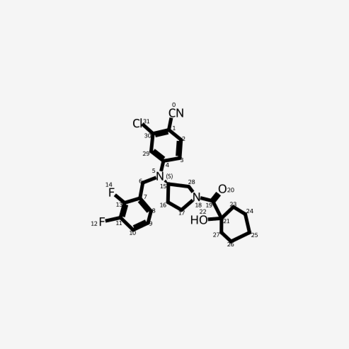 N#Cc1ccc(N(Cc2cccc(F)c2F)[C@H]2CCN(C(=O)C3(O)CCCCC3)C2)cc1Cl